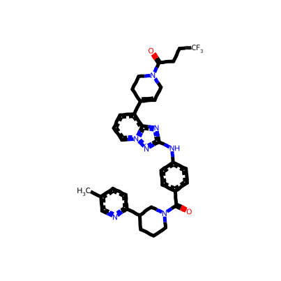 Cc1ccc(C2CCCN(C(=O)c3ccc(Nc4nc5c(C6=CCN(C(=O)CCC(F)(F)F)CC6)cccn5n4)cc3)C2)nc1